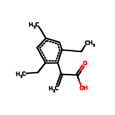 C=C(C(=O)O)c1c(CC)cc(C)cc1CC